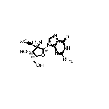 C#CC1(N)[C@@H](O)[C@@H](CO)O[C@H]1n1cnc2c(=O)[nH]c(N)nc21